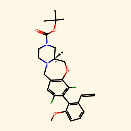 C=Cc1cccc(OC)c1-c1c(F)cc2c(c1F)OC[C@H]1CN(C(=O)OC(C)(C)C)CCN1C2